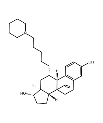 C=CC12CCc3cc(O)ccc3[C@H]1[C@@H](CCCCCN1CCCCC1)C[C@]1(C)[C@@H](O)CC[C@@H]21